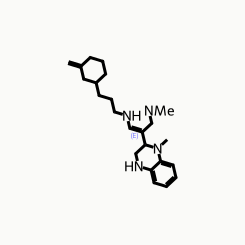 C=C1CCCC(CCCN/C=C(\CNC)C2CNc3ccccc3N2C)C1